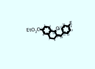 CCOC(=O)c1ccc2c(c1)CC/C(=C/c1ccc(F)cc1)C2=O